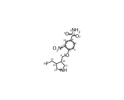 NS(=O)(=O)c1ccc(OCC2CNCC2CF)c([N+](=O)[O-])c1